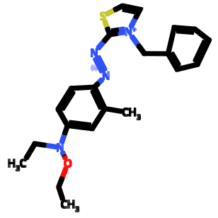 CCON(CC)c1ccc(/N=N/c2scc[n+]2Cc2ccccc2)c(C)c1